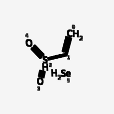 C=C[SH](=O)=O.[SeH2]